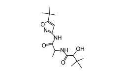 CC(NC(=O)C(O)C(C)(C)C)C(=O)Nc1cc(C(C)(C)C)on1